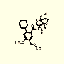 O=C(O)c1cc(C2CCCCC2)c(C(=O)O[C@@]2(O)CO[C@@H]3[C@H](O)CO[C@@H]32)cc1CO[N+](=O)[O-]